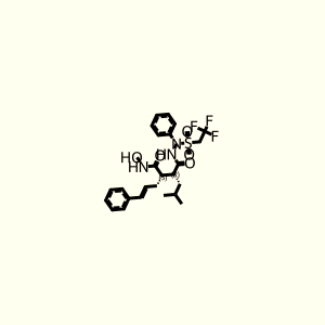 CC(C)C[C@@H](C(=O)NN(c1ccccc1)S(=O)(=O)CC(F)(F)F)[C@H](CC=Cc1ccccc1)C(=O)NO